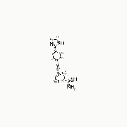 CC/C=C(C#Cc1ccc(C2=NCCN2)cc1)\C(C)=C\C(=N)N